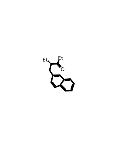 CCC(=O)[C@H](CC)Cc1ccc2ccccc2c1